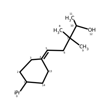 CC(C)C1CCC(=CCC(C)(C)C(C)O)CC1